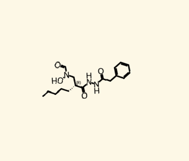 CCCCC[C@H](CN(O)C=O)C(=O)NNC(=O)Cc1ccccc1